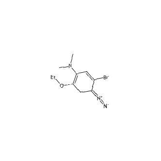 CCOC1=C(N(C)C)C=C(Br)C(=[N+]=[N-])C1